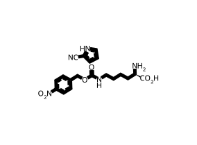 N#Cc1ccc[nH]1.N[C@@H](CCCCNC(=O)OCc1ccc([N+](=O)[O-])cc1)C(=O)O